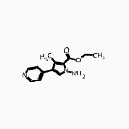 CCOC(=O)c1c(C)c(-c2ccncc2)cn1N